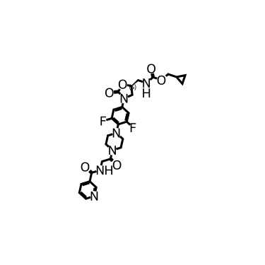 O=C(NC[C@H]1CN(c2cc(F)c(N3CCN(C(=O)CNC(=O)c4cccnc4)CC3)c(F)c2)C(=O)O1)OCC1CC1